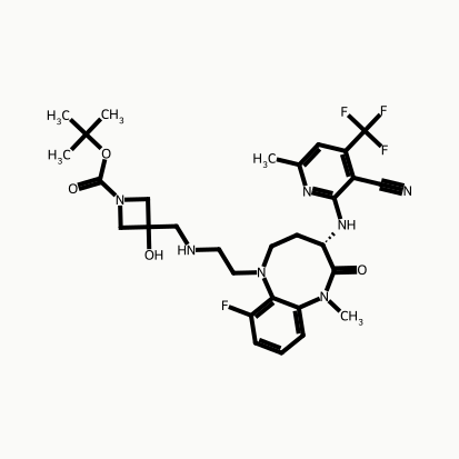 Cc1cc(C(F)(F)F)c(C#N)c(N[C@H]2CCN(CCNCC3(O)CN(C(=O)OC(C)(C)C)C3)c3c(F)cccc3N(C)C2=O)n1